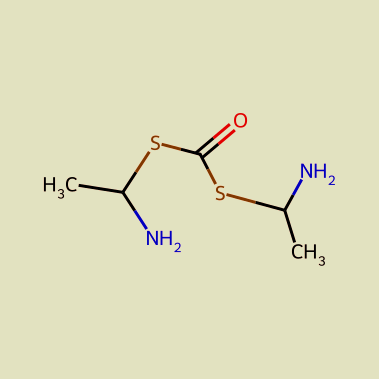 CC(N)SC(=O)SC(C)N